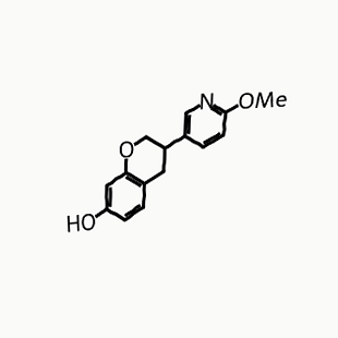 COc1ccc(C2COc3cc(O)ccc3C2)cn1